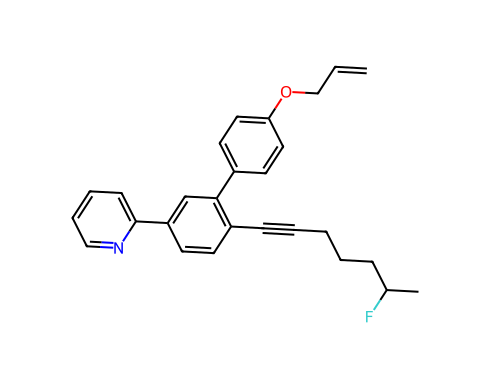 C=CCOc1ccc(-c2cc(-c3ccccn3)ccc2C#CCCCC(C)F)cc1